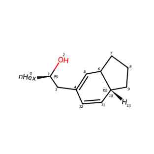 CCCCCC[C@@H](O)CC1=CC2CCC[C@@H]2C=C1